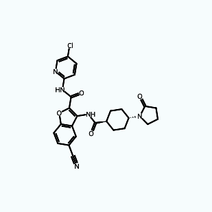 N#Cc1ccc2oc(C(=O)Nc3ccc(Cl)cn3)c(NC(=O)[C@H]3CC[C@H](N4CCCC4=O)CC3)c2c1